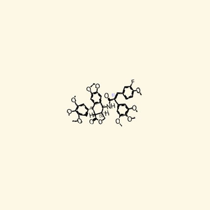 COc1ccc(/C=C(/C(=O)N[C@@H]2c3cc4c(cc3[C@@H](c3cc(OC)c(OC)c(OC)c3)[C@H]3C(=O)OC[C@@H]32)OCO4)c2cc(OC)c(OC)c(OC)c2)cc1F